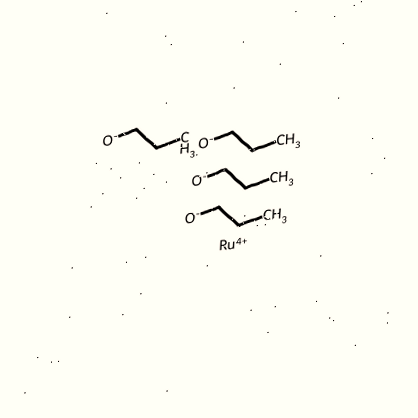 CCC[O-].CCC[O-].CCC[O-].CCC[O-].[Ru+4]